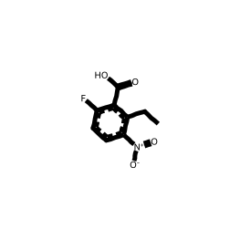 CCc1c([N+](=O)[O-])ccc(F)c1C(=O)O